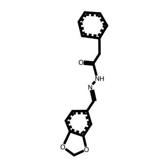 O=C(Cc1ccccc1)N/N=C/c1ccc2c(c1)OCO2